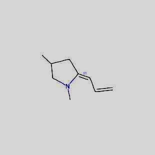 C=C/C=C1/CC(C)CN1C